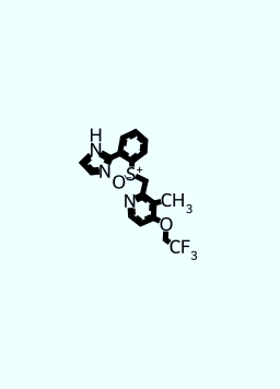 Cc1c(OCC(F)(F)F)ccnc1C[S+]([O-])c1ccccc1-c1ncc[nH]1